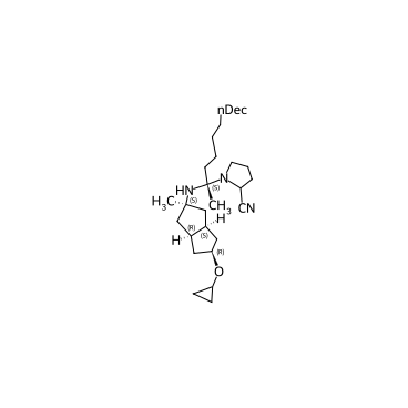 CCCCCCCCCCCCCC[C@@](C)(N[C@@]1(C)C[C@H]2C[C@@H](OC3CC3)C[C@H]2C1)N1CCCC1C#N